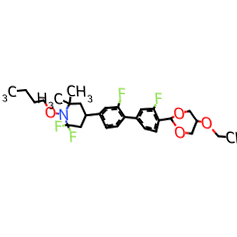 CCCCON1C(C)(C)CC(c2ccc(-c3ccc(C4OCC(OCC)CO4)c(F)c3)c(F)c2)CC1(F)F